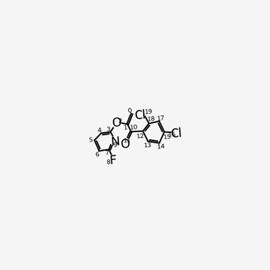 C=C(Oc1cccc(F)n1)C(=O)c1ccc(Cl)cc1Cl